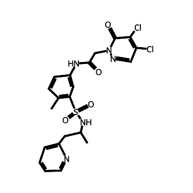 Cc1ccc(NC(=O)Cn2ncc(Cl)c(Cl)c2=O)cc1S(=O)(=O)NC(C)Cc1ccccn1